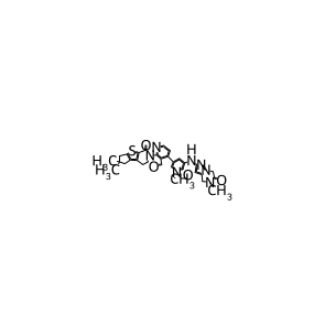 CN1Cc2cc(Nc3cc(-c4ccnc(N5CCc6c(sc7c6CC(C)(C)C7)C5=O)c4C=O)cn(C)c3=O)nn2CC1=O